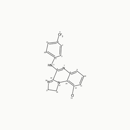 FC(F)(F)c1ccc(NC2=Nc3cccc(Cl)c3N3CCN=C23)cc1